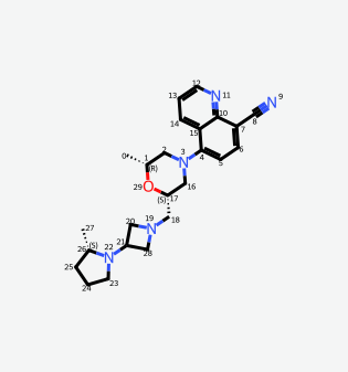 C[C@@H]1CN(c2ccc(C#N)c3ncccc23)C[C@H](CN2CC(N3CCC[C@@H]3C)C2)O1